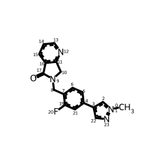 Cn1cc(-c2ccc(CN3Cc4ncccc4C3=O)c(F)c2)cn1